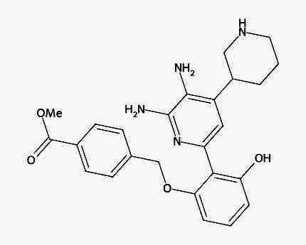 COC(=O)c1ccc(COc2cccc(O)c2-c2cc(C3CCCNC3)c(N)c(N)n2)cc1